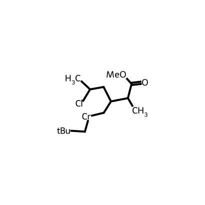 COC(=O)C(C)C([CH2][Cr][CH2]C(C)(C)C)CC(C)Cl